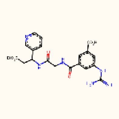 CCOC(=O)CC(NC(=O)CNC(=O)c1cc(NC(=N)N)cc(C(=O)O)c1)c1cccnc1